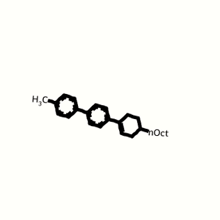 CCCCCCCCC1CC=C(c2ccc(-c3ccc(C)cc3)cc2)CC1